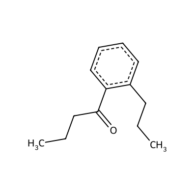 CCCC(=O)c1ccccc1CCC